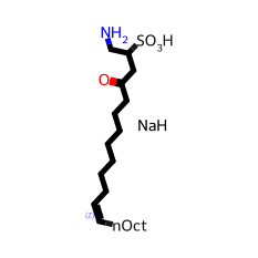 CCCCCCCC/C=C\CCCCCCCC(=O)CC(CN)S(=O)(=O)O.[NaH]